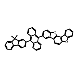 CC1(C)c2ccccc2-c2ccc(-c3c4ccccc4c(-c4ccc5oc6c(ccc7oc8ccccc8c76)c5c4)c4ccccc34)cc21